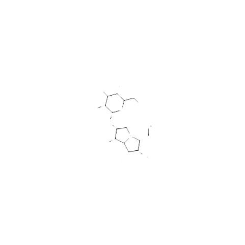 OCC1O[C@@H](O[C@H]2CN3[C@H]([C@H]2O)[C@@H](O)[C@H](O)[C@H]3CO)[C@@H](O)C(O)[C@@H]1O